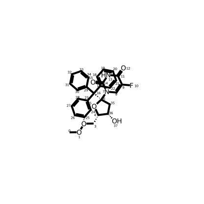 COOC[C@@H]1O[C@](n2cc(F)c(=O)[nH]c2=O)(C(c2ccccc2)(c2ccccc2)c2ccccc2)C[C@@H]1O